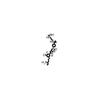 C=C[C@@H](N)CCCc1cc(Cl)c(F)c(-c2cc3cn(-c4ccc(C5(NCCCNC(C)=N)CC5)cc4)c(=O)nc3[nH]2)c1